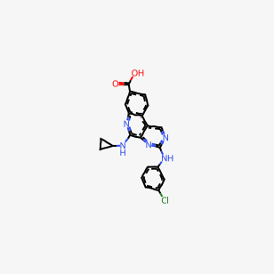 O=C(O)c1ccc2c(c1)nc(NC1CC1)c1nc(Nc3cccc(Cl)c3)ncc12